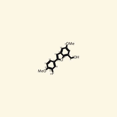 COc1cc(CO)c2oc(-c3ccc(OC)c(F)c3)cc2c1